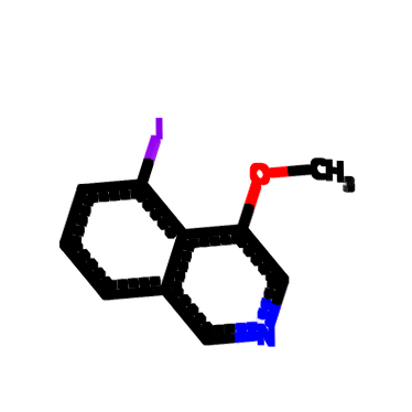 COc1cncc2cccc(I)c12